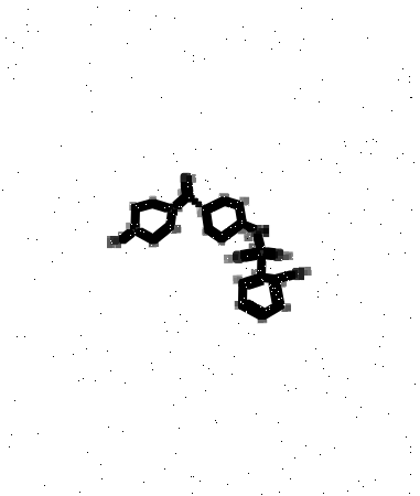 CC(C)N1CCN(C(=O)[C@H]2CC[C@H](NS(=O)(=O)c3ccccc3Cl)CC2)CC1